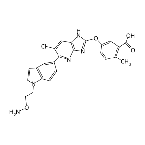 Cc1ccc(Oc2nc3nc(-c4ccc5c(ccn5CCON)c4)c(Cl)cc3[nH]2)cc1C(=O)O